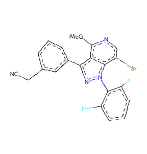 COc1ncc(Br)c2c1c(-c1cccc(CC#N)c1)nn2-c1c(F)cccc1F